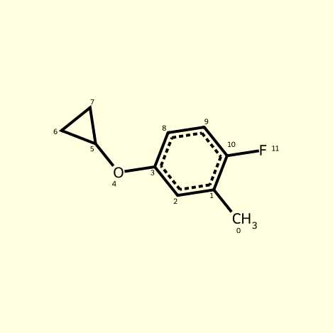 Cc1cc(OC2CC2)ccc1F